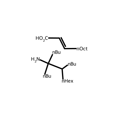 CCCCCCC(CCCC)C(N)(CCCC)CCCC.CCCCCCCCC=CC(=O)O